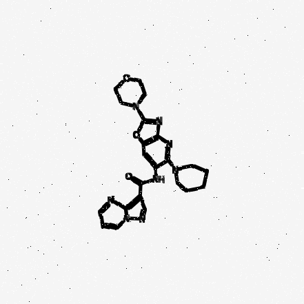 O=C(Nc1cc2oc(N3CCOCC3)nc2nc1N1CCCCC1)c1cnn2cccnc12